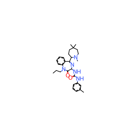 CCCN1C(=O)C(NC(=O)Nc2cccc(C)c2)N=C(C2CCC(C)(C)CCN2C)c2ccccc21